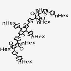 CCCCCCc1ccc(-c2ccc(C3=C4C(=O)N(CCCCCC)C(c5ccc(-c6cc7c(-c8ccc(CCCCCC)s8)c8sc(-c9ccc(C%10=C%11C(=O)N(CCCCCC)C(c%12ccc(-c%13ccc(CCCCCC)s%13)s%12)=C%11C(=O)N%10CCCCCC)s9)cc8c(-c8ccc(CCCCCC)s8)c7s6)s5)=C4C(=O)N3CCCCCC)s2)s1